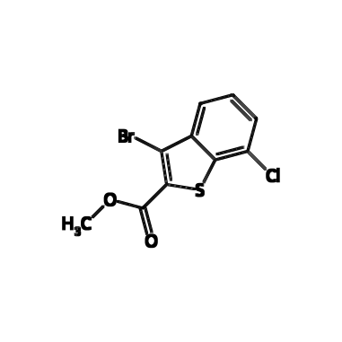 COC(=O)c1sc2c(Cl)cccc2c1Br